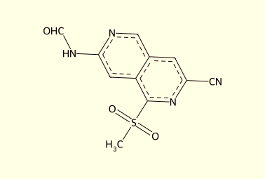 CS(=O)(=O)c1nc(C#N)cc2cnc(NC=O)cc12